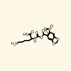 CC(OC(=O)NC(CCCCN)C(=O)O)c1cc2c(cc1[N+](=O)[O-])OCO2